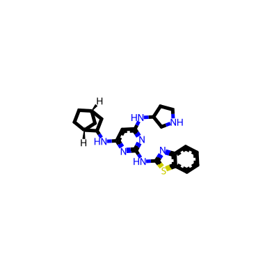 c1ccc2sc(Nc3nc(NC4CCNC4)cc(NC4C[C@H]5CC[C@@H]4C5)n3)nc2c1